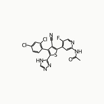 CC(=O)Nc1cc(-c2sc(-c3nnc[nH]3)c(-c3ccc(Cl)cc3Cl)c2C#N)c(F)cn1